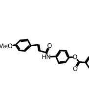 C=C(C)C(=O)Oc1ccc(NC(=O)/C=C/c2ccc(OC)cc2)cc1